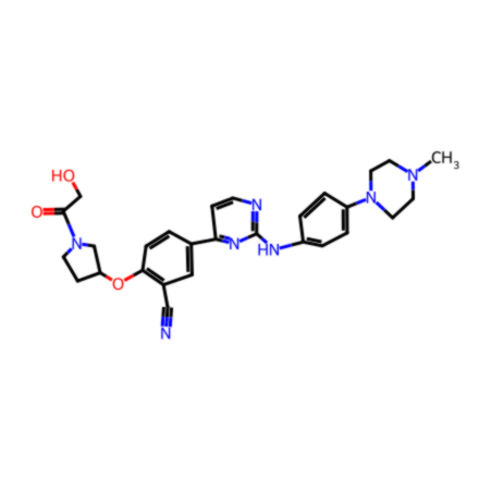 CN1CCN(c2ccc(Nc3nccc(-c4ccc(OC5CCN(C(=O)CO)C5)c(C#N)c4)n3)cc2)CC1